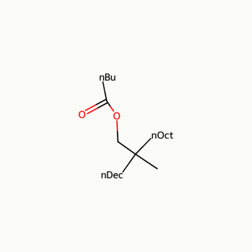 CCCCCCCCCCC(C)(CCCCCCCC)COC(=O)CCCC